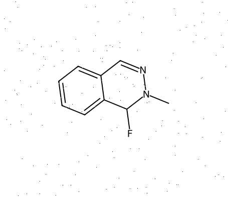 CN1N=Cc2ccccc2C1F